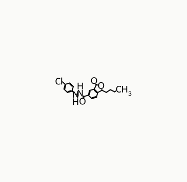 CCCCC1OC(=O)c2cc(C(=O)NNc3ccc(Cl)cc3)ccc21